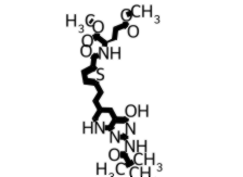 COC(=O)CC[C@@H](NC(=O)c1ccc(CCC2CNc3nc(NC(=O)C(C)(C)C)nc(O)c3C2)s1)C(=O)OC